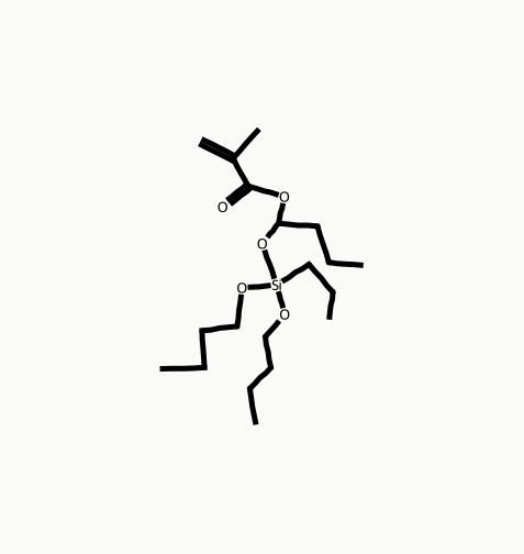 C=C(C)C(=O)OC(CCC)O[Si](CCC)(OCCCC)OCCCC